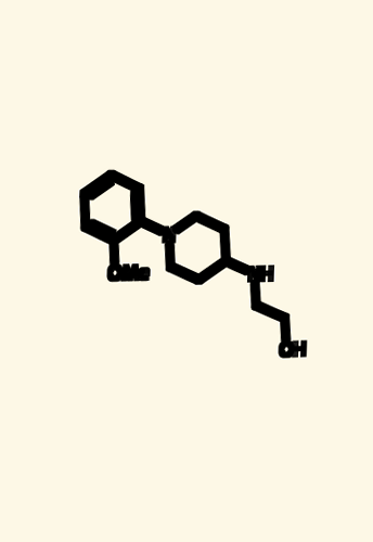 COc1ccccc1N1CCC(NCCO)CC1